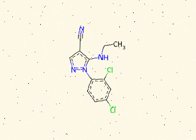 CCNc1c(C#N)cnn1-c1ccc(Cl)cc1Cl